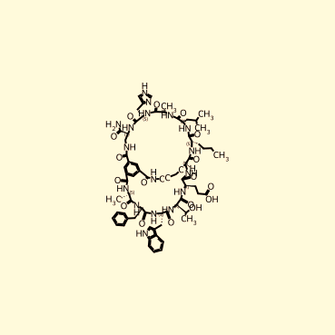 CCCC[C@@H]1NC(=O)[C@@H]2CCCCNC(=O)c3cc(cc(c3)C(=O)N[C@@H](C)C(=O)N[C@H](Cc3ccccc3)C(=O)N[C@@H](Cc3c[nH]c4ccccc34)C(=O)N[C@H](C(C)O)C(=O)N[C@H](CCC(=O)O)C(=O)N2)C(=O)NC[C@@H](C(N)=O)NC(=O)[C@H](Cc2c[nH]cn2)NC(=O)[C@H](C)NC(=O)[C@@H](CC(C)C)NC1=O